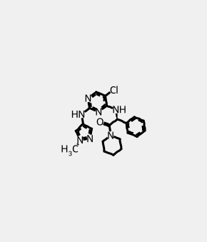 Cn1cc(Nc2ncc(Cl)c(N[C@H](C(=O)N3CCCCC3)c3ccccc3)n2)cn1